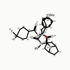 COCCCN1C(=O)N(C(C)C)C2(CC3CCC(C2)N3CC[C@H](NC(=O)C2CCC(F)(F)CC2)c2ccccc2)C1=O